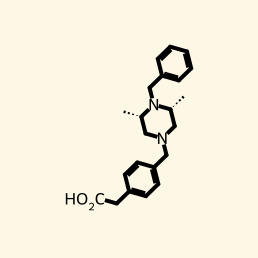 C[C@@H]1CN(Cc2ccc(CC(=O)O)cc2)C[C@H](C)N1Cc1ccccc1